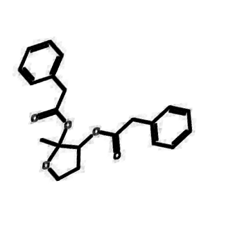 CC1(OC(=O)Cc2ccccc2)OCCC1OC(=O)Cc1ccccc1